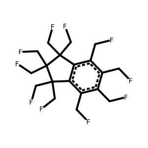 FCc1c(CF)c(CF)c2c(c1CF)C(CF)(CF)C(CF)(CF)C2(CF)CF